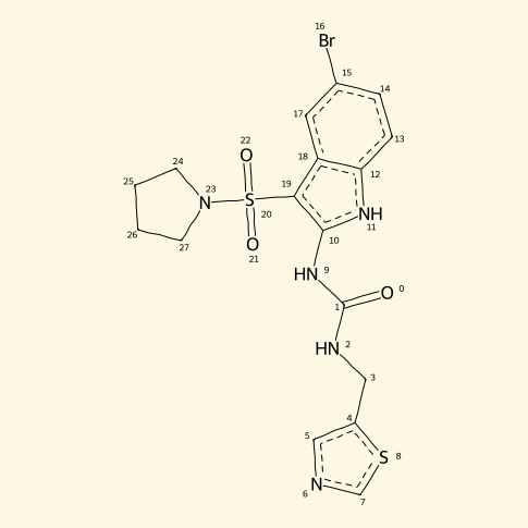 O=C(NCc1cncs1)Nc1[nH]c2ccc(Br)cc2c1S(=O)(=O)N1CCCC1